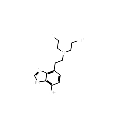 CCCN(CCC)CCc1ccc(O)c2[nH]cnc12